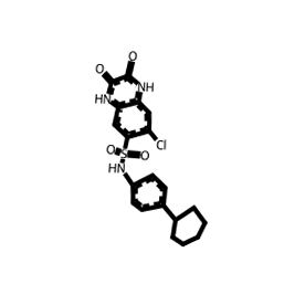 O=c1[nH]c2cc(Cl)c(S(=O)(=O)Nc3ccc(C4CCCCC4)cc3)cc2[nH]c1=O